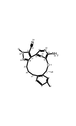 Cc1ccc2c(c1)[C@@H](C)Oc1nc(cnc1N)-c1c(nn(C)c1C#N)CCC2